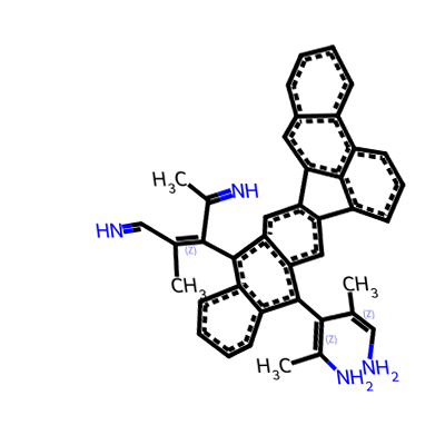 CC(=N)/C(=C(/C)C=N)c1c2ccccc2c(C(/C(C)=C\N)=C(\C)N)c2cc3c(cc12)-c1cc2ccccc2c2cccc-3c12